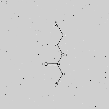 CC(C)CCOC(=O)C[S]